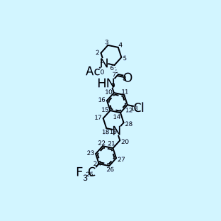 CC(=O)N1CCCC[C@@H]1C(=O)Nc1cc(Cl)c2c(c1)CCN(Cc1ccc(C(F)(F)F)cc1)C2